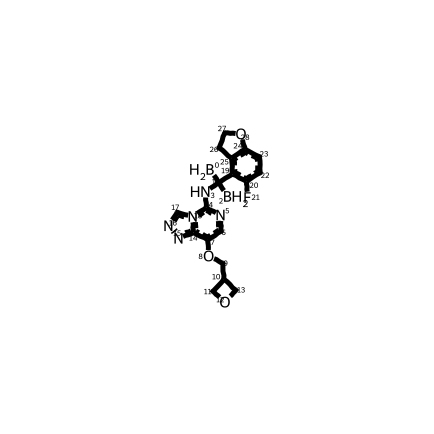 BC(B)(Nc1ncc(OCC2COC2)c2nncn12)c1c(F)ccc2c1CCO2